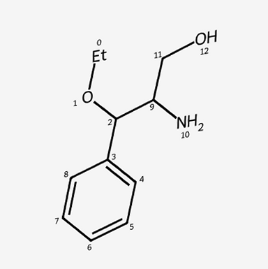 CCOC(c1ccccc1)C(N)CO